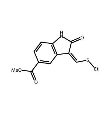 CCSC=C1C(=O)Nc2ccc(C(=O)OC)cc21